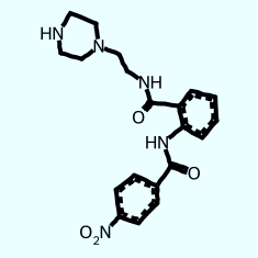 O=C(Nc1ccccc1C(=O)NCCN1CCNCC1)c1ccc([N+](=O)[O-])cc1